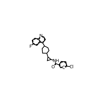 O=C(NC1CC1C1CCC(c2ccnc3ccc(F)cc23)CC1)c1ccc(Cl)cc1